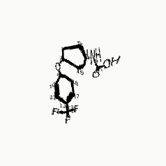 O=C(O)N[C@H]1CC[C@H](Oc2ccc(C(F)(F)F)cc2)C1